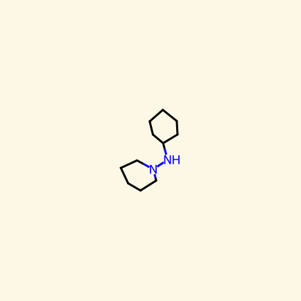 C1CCC(NN2CCCCC2)CC1